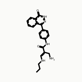 CCCN/C=C(\CN)C(=O)Nc1ccc(-c2n[nH]c(=O)c3ccccc23)cc1